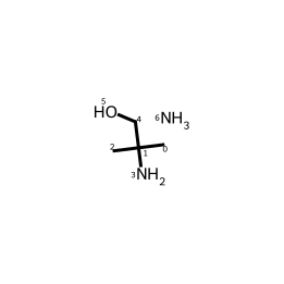 CC(C)(N)CO.N